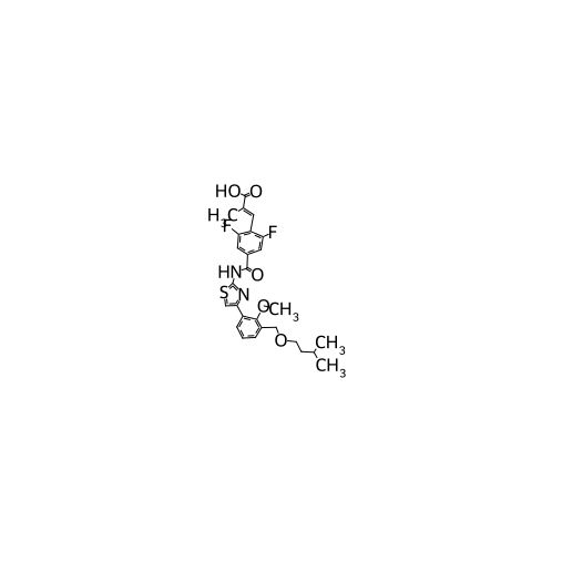 COc1c(COCCC(C)C)cccc1-c1csc(NC(=O)c2cc(F)c(C=C(C)C(=O)O)c(F)c2)n1